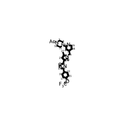 CC(=O)N1CCN(c2cc(Cn3nc(-c4nc(-c5ccc(OC(F)(F)F)cc5)no4)cc3C)ccn2)CC1